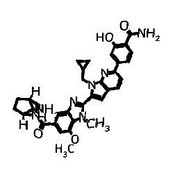 COc1cc(C(=O)N2C[C@H]3CC[C@@H]2[C@@H]3N)cc2nc(-c3cc4ccc(-c5ccc(C(N)=O)c(O)c5)nc4n3CC3CC3)n(C)c12